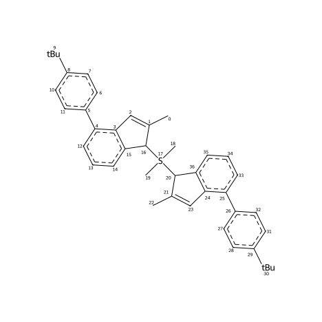 CC1=Cc2c(-c3ccc(C(C)(C)C)cc3)cccc2C1S(C)(C)C1C(C)=Cc2c(-c3ccc(C(C)(C)C)cc3)cccc21